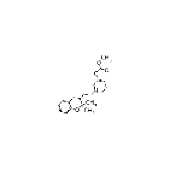 COC(=O)OC1=CCCN(CCC2Cc3ccccc3OC2(C)C)C1